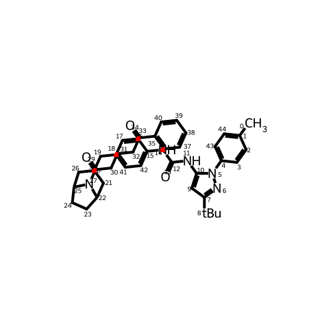 Cc1ccc(-n2nc(C(C)(C)C)cc2NC(=O)Nc2ccc(CC3CC4CCC(C3)N4C(=O)CCCC(=O)c3ccccc3)cc2)cc1